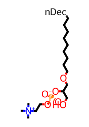 CCCCCCCCCCCCCCCCCCCOCC(CO)OP(=O)([O-])OCC[N+](C)(C)C